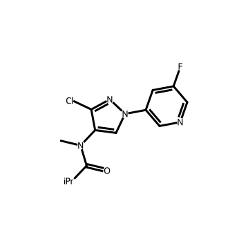 CC(C)C(=O)N(C)c1cn(-c2cncc(F)c2)nc1Cl